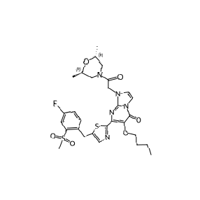 CCCCOc1c(-c2ncc(Cc3ccc(F)cc3S(C)(=O)=O)s2)nc2n(CC(=O)N3C[C@@H](C)O[C@H](C)C3)ccn2c1=O